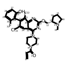 C=CC(=O)N1CCN(c2nc(OC[C@@H]3CCCN3C)nc3c(F)c(-c4c(O)cccc4F)c(Cl)cc23)CC1